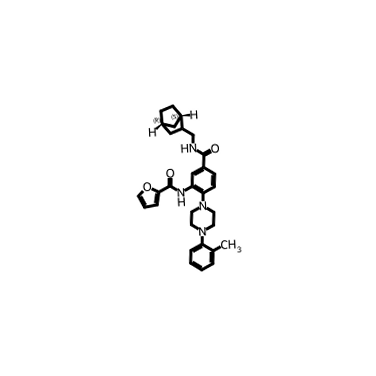 Cc1ccccc1N1CCN(c2ccc(C(=O)NCC3C[C@@H]4CC[C@H]3C4)cc2NC(=O)c2ccco2)CC1